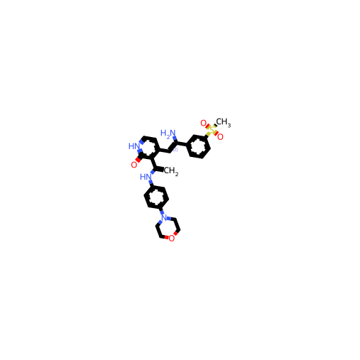 C=C(Nc1ccc(N2CCOCC2)cc1)c1c(/C=C(\N)c2cccc(S(C)(=O)=O)c2)cc[nH]c1=O